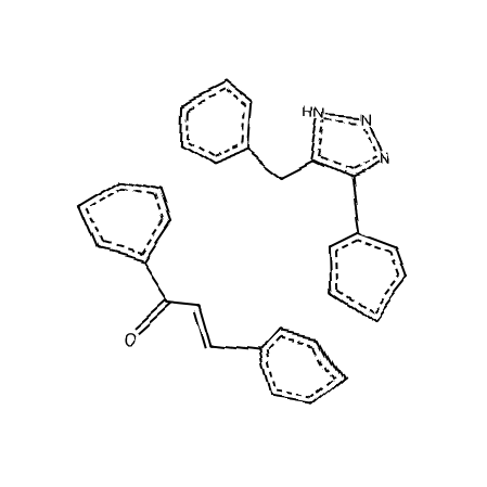 O=C(C=Cc1ccccc1)c1ccccc1.c1ccc(Cc2[nH]nnc2-c2ccccc2)cc1